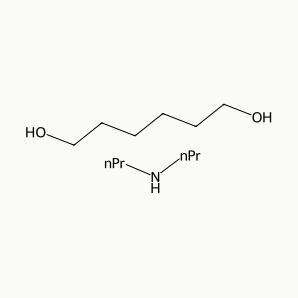 CCCNCCC.OCCCCCCO